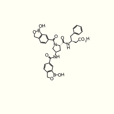 O=C(O)C[C@H](Cc1ccccc1)NC(=O)[C@@H]1C[C@@H](NC(=O)c2ccc3c(c2)B(O)OC3)CN1C(=O)c1ccc2c(c1)B(O)OC2